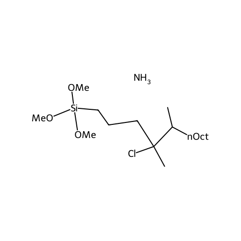 CCCCCCCCC(C)C(C)(Cl)CCC[Si](OC)(OC)OC.N